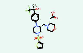 C[C@](O)(c1ccc(N2CCN(S(=O)(=O)c3cccs3)C[C@@H]2CN2CCOC[C@H]2CC(=O)O)cc1)C(F)(F)F